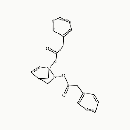 O=C(Cc1ccccc1)ON1CC2C=C[N+]1(OC(=O)Cc1ccccc1)C2